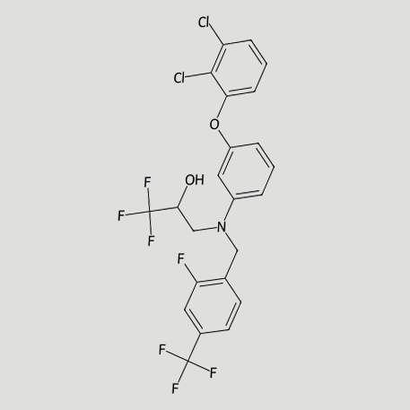 OC(CN(Cc1ccc(C(F)(F)F)cc1F)c1cccc(Oc2cccc(Cl)c2Cl)c1)C(F)(F)F